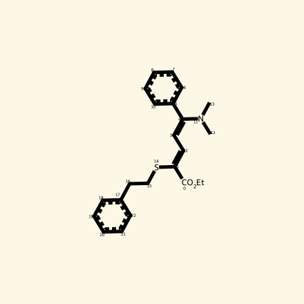 CCOC(=O)C(=CC=C(c1ccccc1)N(C)C)SCCc1ccccc1